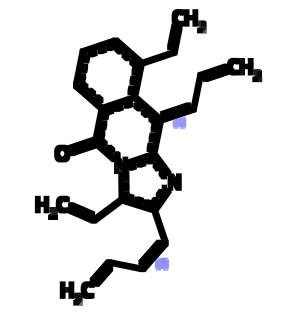 C=C/C=C\c1nc2/c(=C/C=C)c3c(C=C)cccc3c(=O)n2c1C=C